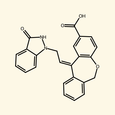 O=C(O)c1ccc2c(c1)C(=CCn1[nH]c(=O)c3ccccc31)c1ccccc1CO2